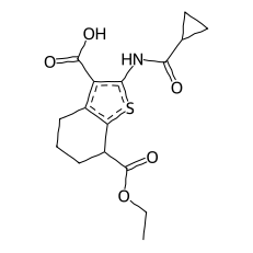 CCOC(=O)C1CCCc2c1sc(NC(=O)C1CC1)c2C(=O)O